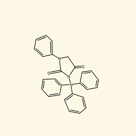 O=C1CN(c2ccccc2)C(=O)N1[Si](c1ccccc1)(c1ccccc1)c1ccccc1